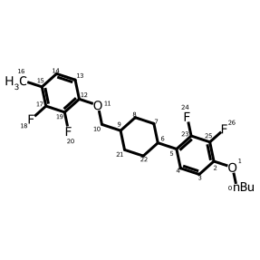 CCCCOc1ccc(C2CCC(COc3ccc(C)c(F)c3F)CC2)c(F)c1F